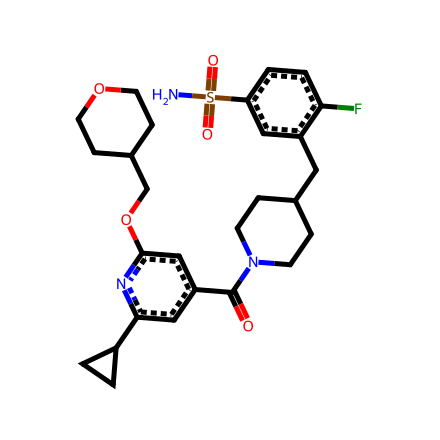 NS(=O)(=O)c1ccc(F)c(CC2CCN(C(=O)c3cc(OCC4CCOCC4)nc(C4CC4)c3)CC2)c1